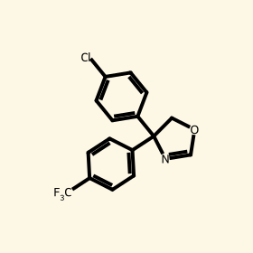 FC(F)(F)c1ccc(C2(c3ccc(Cl)cc3)COC=N2)cc1